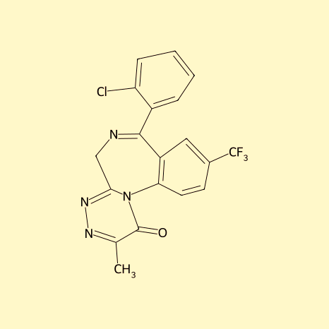 Cc1nnc2n(c1=O)-c1ccc(C(F)(F)F)cc1C(c1ccccc1Cl)=NC2